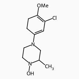 COC1=C(Cl)C=C(N2CCN(O)C(C)C2)CC1